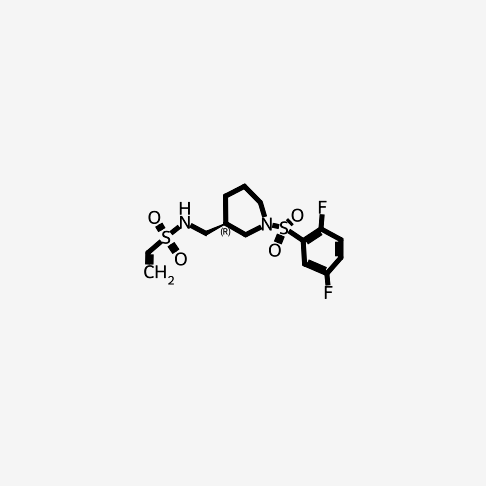 C=CS(=O)(=O)NC[C@H]1CCCN(S(=O)(=O)c2cc(F)ccc2F)C1